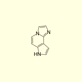 c1cn2ccc3[nH]ccc3c2n1